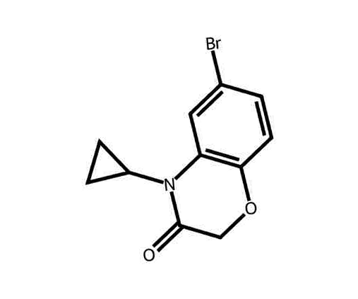 O=C1COc2ccc(Br)cc2N1C1CC1